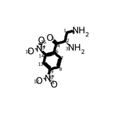 NC[C@H](N)C(=O)c1ccc([N+](=O)[O-])cc1[N+](=O)[O-]